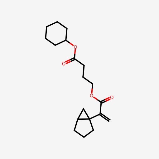 C=C(C(=O)OCCCC(=O)OC1CCCCC1)C12CCCC1C2